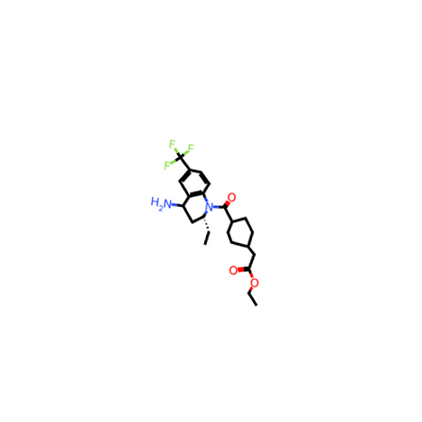 CCOC(=O)CC1CCC(C(=O)N2c3ccc(C(F)(F)F)cc3C(N)C[C@H]2CC)CC1